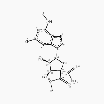 CNc1nc(Cl)nc2c1ncn2[C@@H]1S[C@@](C(N)=O)(C(=O)OC)[C@@H](O)[C@H]1O